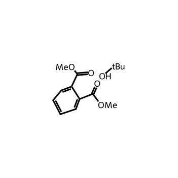 CC(C)(C)O.COC(=O)c1ccccc1C(=O)OC